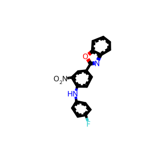 O=[N+]([O-])c1cc(-c2nc3ccccc3o2)ccc1Nc1ccc(F)cc1